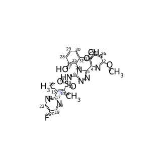 COC1=NC(c2nnc(NS(=O)(=O)/C(C)=C(\C)c3ncc(F)cn3)n2-c2c(O)cccc2OC)=C=C=C1